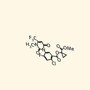 COC(=O)C1(OC(=O)c2cc(-n3c(=O)cc(C(F)(F)F)n(C)c3=O)c(F)cc2Cl)CC1